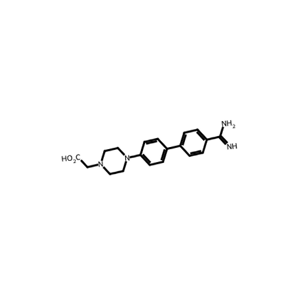 N=C(N)c1ccc(-c2ccc(N3CCN(CC(=O)O)CC3)cc2)cc1